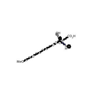 COCCOCCOCCOCCOCCOCCOCCOCCOCCOCCOCCC1(C)C(/C=C/C=C/Nc2ccccc2)=[N+](CCCCCC(=O)O)c2ccc(SOOO)cc21